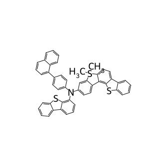 CS1(C)c2cc(N(c3ccc(-c4cccc5ccccc45)cc3)c3cccc4c3sc3ccccc34)ccc2-c2c1ccc1c2sc2ccccc21